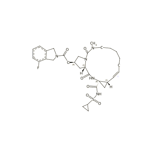 CN1CCCCC/C=C\[C@@H]2C[C@@]2(C(=O)NS(=O)(=O)C2CC2)NC(=O)[C@@H]2C[C@@H](OC(=O)N3Cc4cccc(F)c4C3)CN2C1=O